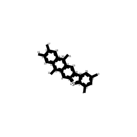 Cc1cc(C)c2sc3cc4c(C)c5cc(C)c(C)cc5c(C)c4cc3c2c1